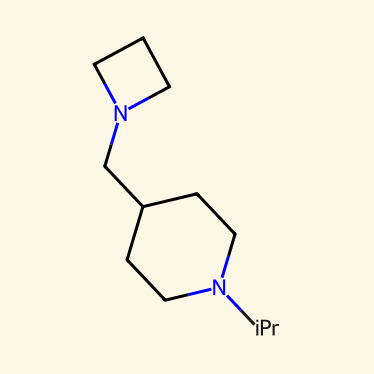 CC(C)N1CCC(CN2CCC2)CC1